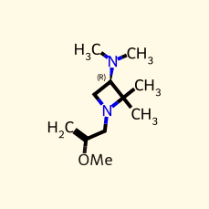 C=C(CN1C[C@@H](N(C)C)C1(C)C)OC